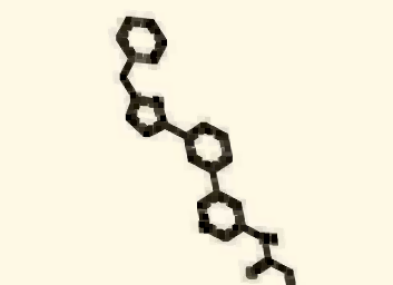 C=CC(=O)Nc1cncc(-c2cccc(-c3ccn(Cc4ccccc4)n3)c2)c1